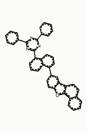 c1ccc(-c2nc(-c3ccccc3)nc(-c3cccc4c(-c5ccc6oc7c8ccccc8ccc7c6c5)cccc34)n2)cc1